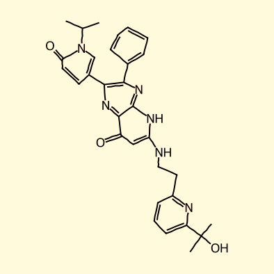 CC(C)n1cc(-c2nc3c(=O)cc(NCCc4cccc(C(C)(C)O)n4)[nH]c3nc2-c2ccccc2)ccc1=O